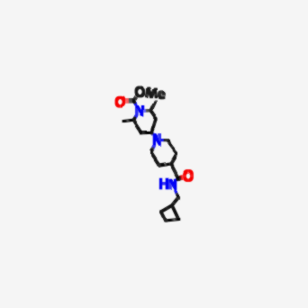 COC(=O)N1C(C)CC(N2CCC(C(=O)NCC3CCC3)CC2)CC1C